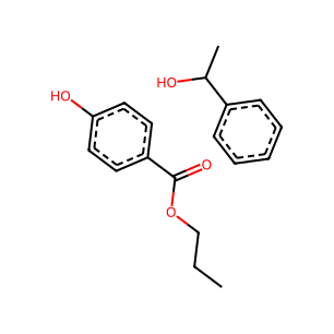 CC(O)c1ccccc1.CCCOC(=O)c1ccc(O)cc1